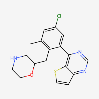 Cc1cc(Cl)cc(-c2ncnc3ccsc23)c1CC1CNCCO1